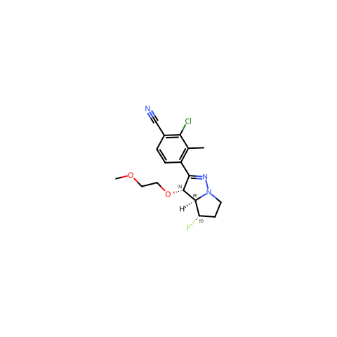 COCCO[C@@H]1C(c2ccc(C#N)c(Cl)c2C)=NN2CC[C@H](F)[C@@H]12